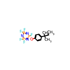 CCC(C)(C)c1ccc(OP2(F)=NP(F)(F)=NP(F)(F)=N2)cc1